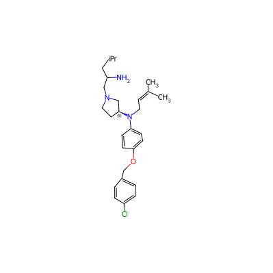 CC(C)=CCN(c1ccc(OCc2ccc(Cl)cc2)cc1)[C@H]1CCN(CC(N)CC(C)C)C1